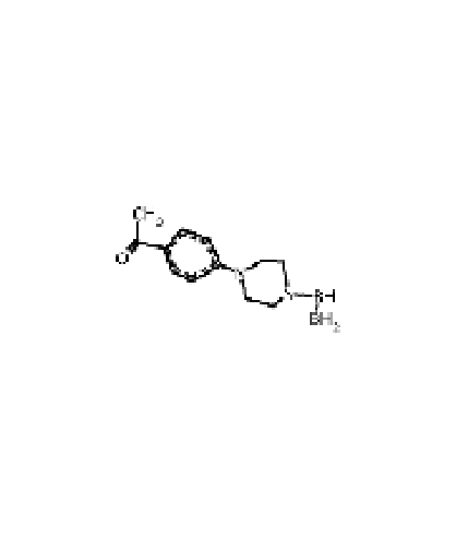 BBN1CCN(c2ccc(C(C)=O)cc2)CC1